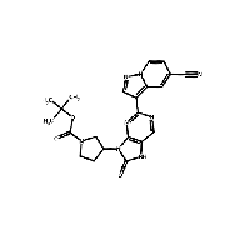 CC(C)(C)OC(=O)N1CCC(n2c(=O)[nH]c3cnc(-c4cnn5ccc(C#N)cc45)nc32)C1